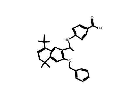 CC(Nc1ccc(C(=O)O)cc1)c1cc2c(cc1OCc1ccccc1)C(C)(C)CC=C2C(C)(C)C